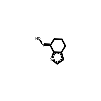 O/N=C1\CCCc2ccsc21